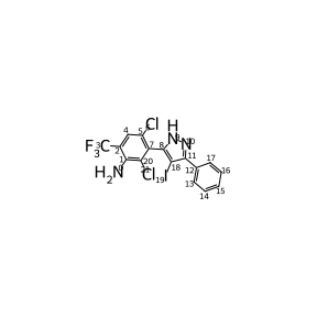 Nc1c(C(F)(F)F)cc(Cl)c(-c2[nH]nc(-c3ccccc3)c2I)c1Cl